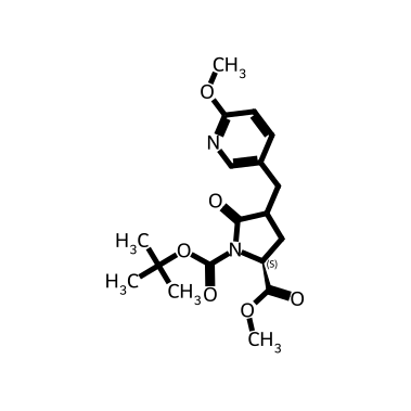 COC(=O)[C@@H]1CC(Cc2ccc(OC)nc2)C(=O)N1C(=O)OC(C)(C)C